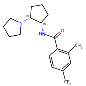 Cc1cc(C(F)(F)F)ccc1C(=O)N[C@H]1CCC[C@H]1N1CCCC1